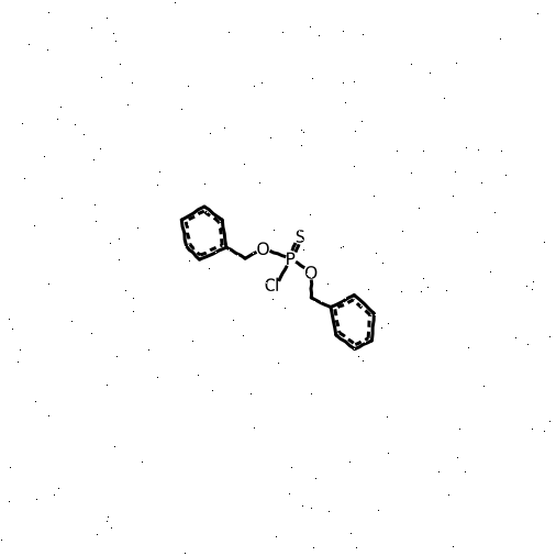 S=P(Cl)(OCc1ccccc1)OCc1ccccc1